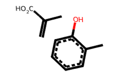 C=C(C)C(=O)O.Cc1ccccc1O